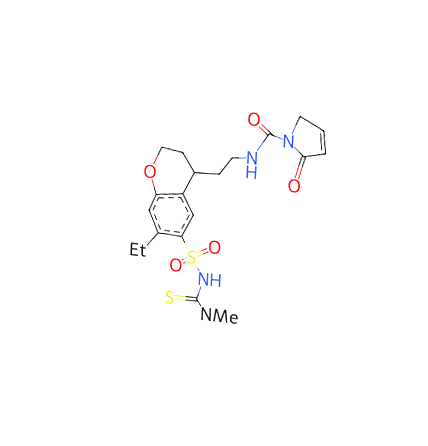 CCc1cc2c(cc1S(=O)(=O)NC(=S)NC)C(CCNC(=O)N1CC=CC1=O)CCO2